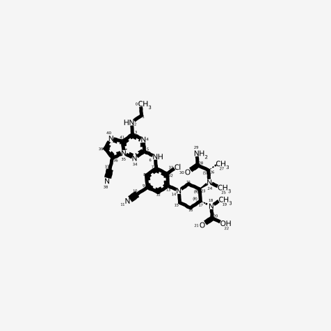 CCNc1nc(Nc2cc(C#N)cc(N3CC[C@@H](N(C)C(=O)O)[C@H](N(C)[C@@H](C)C(N)=O)C3)c2Cl)nn2c(C#N)cnc12